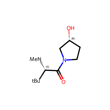 CN[C@H](C(=O)N1CC[C@@H](O)C1)C(C)(C)C